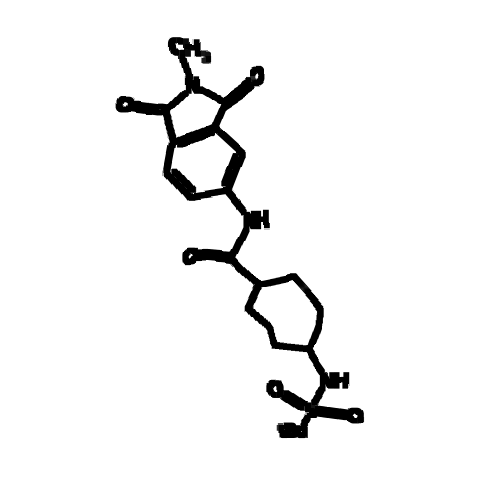 CN1C(=O)c2ccc(NC(=O)C3CCC(NS(=O)(=O)C(C)(C)C)CC3)cc2C1=O